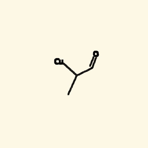 C[CH]([Cu])C=O